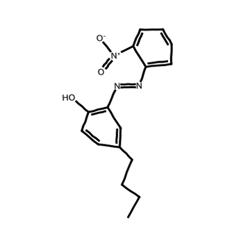 CCCCc1ccc(O)c(N=Nc2ccccc2[N+](=O)[O-])c1